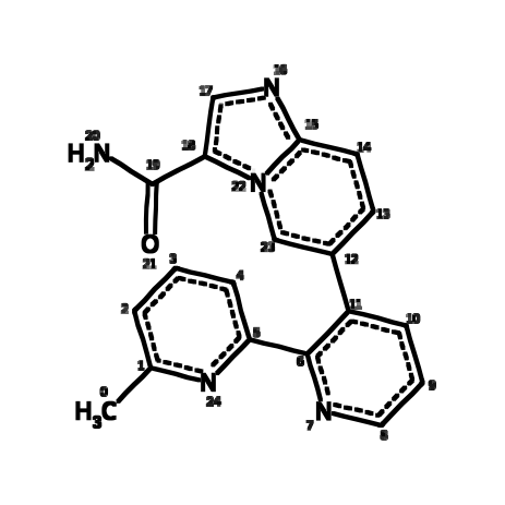 Cc1cccc(-c2ncccc2-c2ccc3ncc(C(N)=O)n3c2)n1